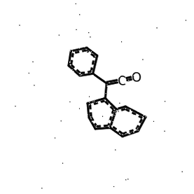 O=C=C(c1ccccc1)c1cccc2ccccc12